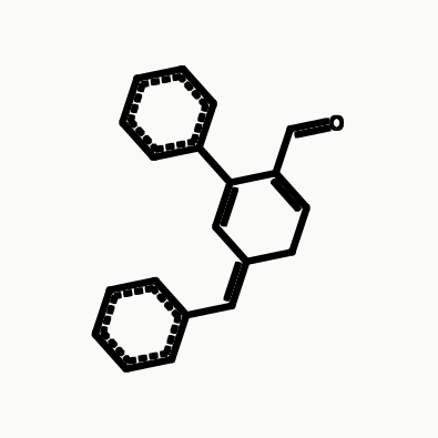 O=CC1=CCC(=Cc2ccccc2)C=C1c1ccccc1